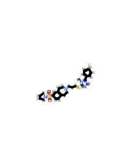 Cn1c(SCCCN2CCc3ccc(S(=O)(=O)N4CCCC4)cc3CC2)nnc1-c1ccc(F)cc1